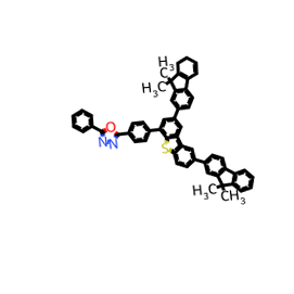 CC1(C)C2=C(C=CCC2)c2ccc(-c3cc(-c4ccc(-c5nnc(-c6ccccc6)o5)cc4)c4sc5ccc(-c6ccc7c(c6)C(C)(C)c6ccccc6-7)cc5c4c3)cc21